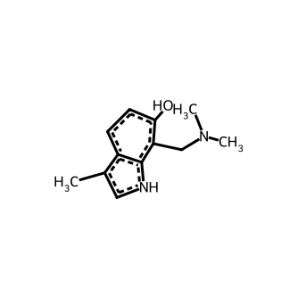 Cc1c[nH]c2c(CN(C)C)c(O)ccc12